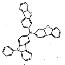 c1ccc(-n2c3ccccc3c3cc(N(c4ccc5c(c4)oc4ccccc45)c4ccc5c(c4)sc4ccccc45)ccc32)cc1